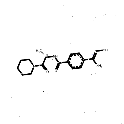 C[C@H](NC(=O)c1ccc(/C(N)=N/O)cc1)C(=O)N1CC[CH]CC1